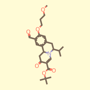 COCCCOc1cc2c(cc1C=O)C1CC(=O)C(C(=O)OC(C)(C)C)=CN1C(C(C)C)C2